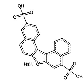 O=S(=O)(O)c1ccc2c(ccc3oc4cc(S(=O)(=O)O)c5ccccc5c4c32)c1.[NaH]